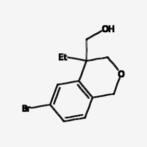 CCC1(CO)COCc2ccc(Br)cc21